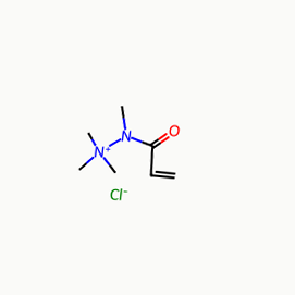 C=CC(=O)N(C)[N+](C)(C)C.[Cl-]